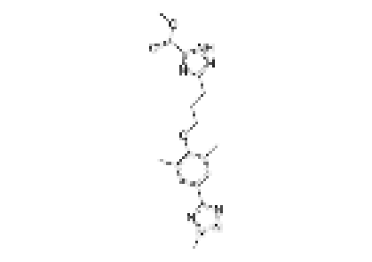 COC(=O)c1nc(CCCOc2c(C)cc(-c3nnn(C)n3)cc2C)n[nH]1